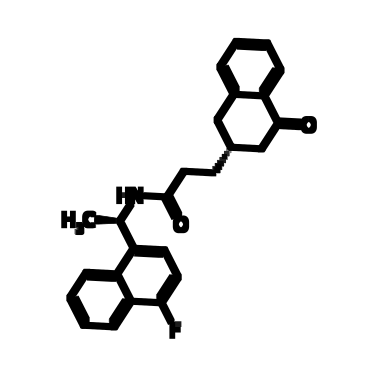 C[C@@H](NC(=O)CC[C@H]1CC(=O)c2ccccc2C1)c1ccc(F)c2ccccc12